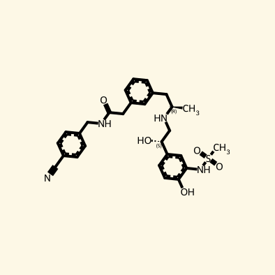 C[C@H](Cc1cccc(CC(=O)NCc2ccc(C#N)cc2)c1)NC[C@@H](O)c1ccc(O)c(NS(C)(=O)=O)c1